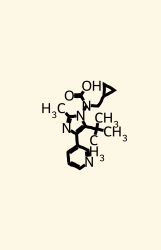 Cc1nc(-c2cccnc2)c(C(C)(C)C)n1N(CC1CC1)C(=O)O